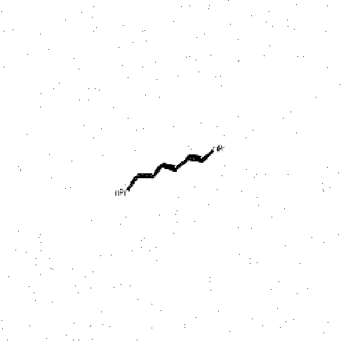 [CH2]CCC=CC=CC=CCCC